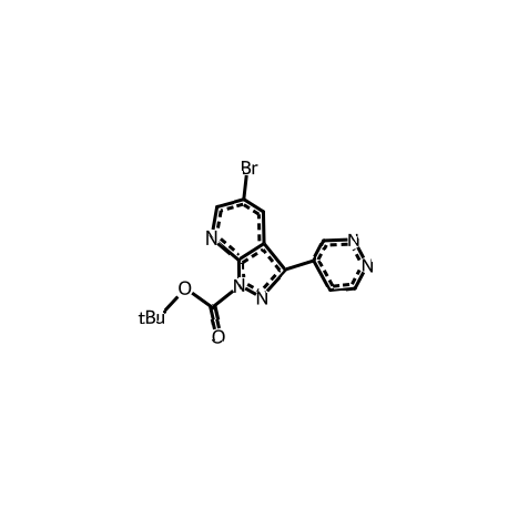 CC(C)(C)OC(=O)n1nc(-c2ccnnc2)c2cc(Br)cnc21